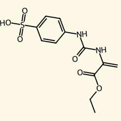 C=C(NC(=O)Nc1ccc(S(=O)(=O)O)cc1)C(=O)OCC